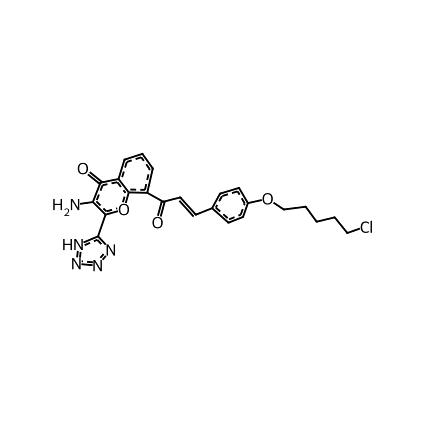 Nc1c(-c2nnn[nH]2)oc2c(C(=O)C=Cc3ccc(OCCCCCCl)cc3)cccc2c1=O